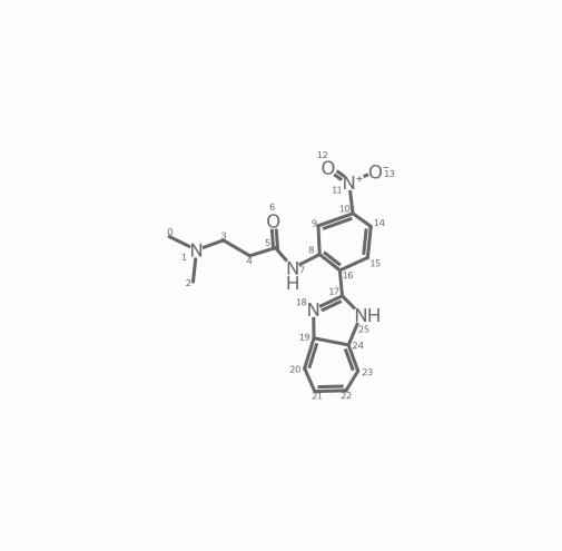 CN(C)CCC(=O)Nc1cc([N+](=O)[O-])ccc1-c1nc2ccccc2[nH]1